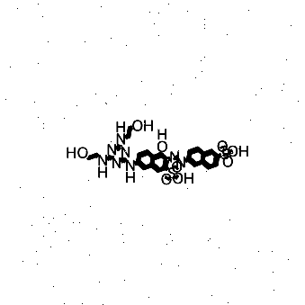 O=S(=O)(O)c1ccc2cc(/N=N/c3c(S(=O)(=O)O)cc4cc(Nc5nc(NCCO)nc(NCCO)n5)ccc4c3O)ccc2c1